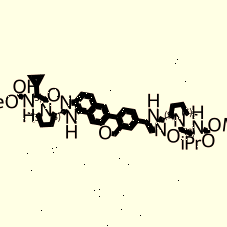 COC(=O)N[C@H](C(=O)N1[C@@H](C)CC[C@H]1c1ncc(-c2ccc3c(c2)COc2cc4c(ccc5nc([C@@H]6CC[C@H](C)N6C(=O)[C@@H](NC(O)OC)C6CC6)[nH]c54)cc2-3)[nH]1)C(C)C